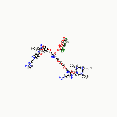 Cc1cc(OCCCC(=O)NCCCOCCOCCOCCCNC(=O)C(CCCCN)NC(=O)CN2CCN(CC(=O)O)CCN(CC(=O)O)CCN(CC(=O)O)CC2)cc(C)c1S(=O)(=O)NC(CNC(=O)c1ccc2c(cnn2CCCNc2ncc[nH]2)c1)C(=O)O.O=C(O)C(F)(F)F.O=C(O)C(F)(F)F.O=C(O)C(F)(F)F